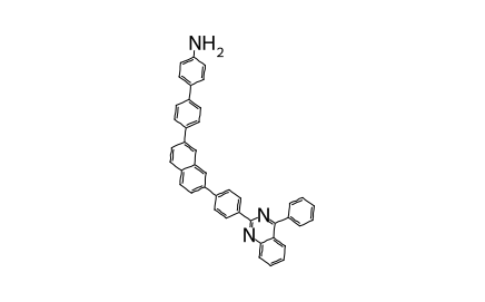 Nc1ccc(-c2ccc(-c3ccc4ccc(-c5ccc(-c6nc(-c7ccccc7)c7ccccc7n6)cc5)cc4c3)cc2)cc1